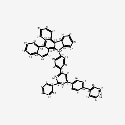 c1ccc(-c2nc(-c3ccc(-c4ccncc4)cc3)cc(-c3ccc(-n4c5ccccc5c5c6ccccc6c6c7ccccc7ccc6c54)cc3)n2)cc1